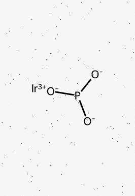 [Ir+3].[O-]P([O-])[O-]